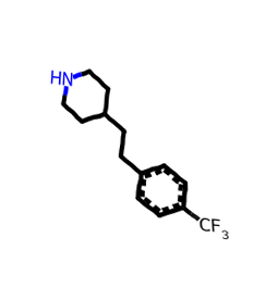 FC(F)(F)c1ccc(CCC2CCNCC2)cc1